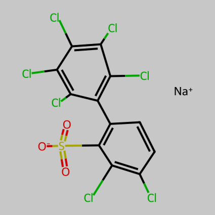 O=S(=O)([O-])c1c(-c2c(Cl)c(Cl)c(Cl)c(Cl)c2Cl)ccc(Cl)c1Cl.[Na+]